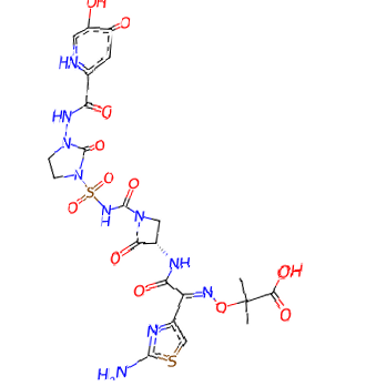 CC(C)(ON=C(C(=O)N[C@H]1CN(C(=O)NS(=O)(=O)N2CCN(NC(=O)c3cc(=O)c(O)c[nH]3)C2=O)C1=O)c1csc(N)n1)C(=O)O